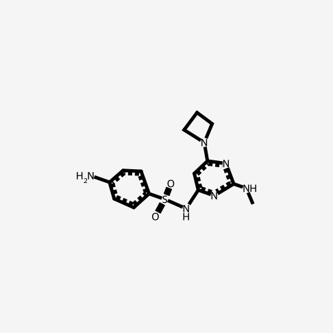 CNc1nc(NS(=O)(=O)c2ccc(N)cc2)cc(N2CCC2)n1